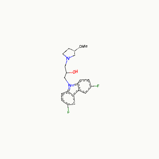 COC1CCN(CC(O)Cn2c3ccc(F)cc3c3cc(F)ccc32)C1